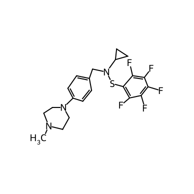 CN1CCN(c2ccc(CN(Sc3c(F)c(F)c(F)c(F)c3F)C3CC3)cc2)CC1